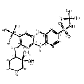 [2H]C([2H])([2H])NS(=O)(=O)c1ccc(Nc2ncc(C(F)(F)F)c(OC3CCOCC3(C)O)n2)c(F)c1